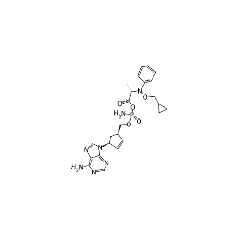 C[C@@H](C(=O)OP(N)(=O)OC[C@H]1C=C[C@@H](n2cnc3c(N)ncnc32)C1)N(OCC1CC1)c1ccccc1